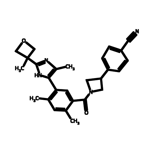 Cc1cc(C)c(-c2[nH]c(C3(C)COC3)nc2C)cc1C(=O)N1CC(c2ccc(C#N)cc2)C1